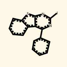 Ic1nc(-c2ccccc2)c2c(n1)sc1ccccc12